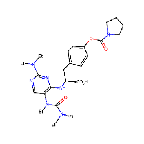 CCN(CC)C(=O)N(CC)c1cnc(N(CC)CC)nc1N[C@@H](Cc1ccc(OC(=O)N2CCCC2)cc1)C(=O)O